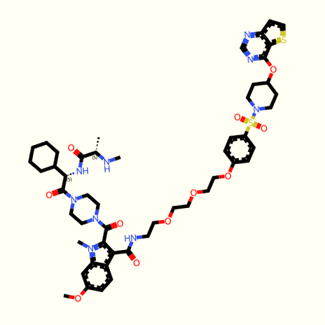 CN[C@@H](C)C(=O)N[C@H](C(=O)N1CCN(C(=O)c2c(C(=O)NCCOCCOCCOc3ccc(S(=O)(=O)N4CCC(Oc5ncnc6ccsc56)CC4)cc3)c3ccc(OC)cc3n2C)CC1)C1CCCCC1